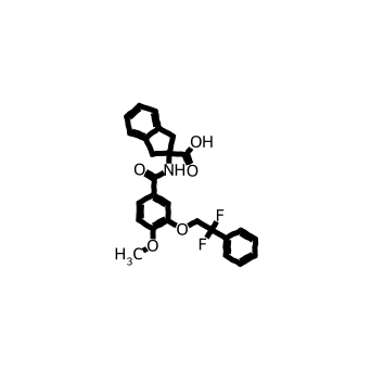 COc1ccc(C(=O)NC2(C(=O)O)Cc3ccccc3C2)cc1OCC(F)(F)c1ccccc1